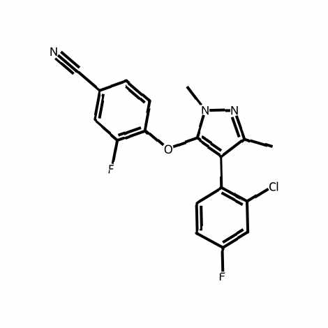 Cc1nn(C)c(Oc2ccc(C#N)cc2F)c1-c1ccc(F)cc1Cl